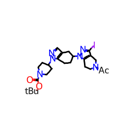 CC(=O)N1CCc2c(c(I)nn2C2CCc3c(cnn3C3CCN(C(=O)OC(C)(C)C)CC3)C2)C1